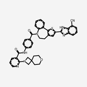 N#Cc1cccc2nc(-c3cc4c(s3)-c3ccccc3N(C(=O)c3ccc(NC(=O)c5cccnc5N5CC6(CCOCC6)C5)cc3)CC4)[nH]c12